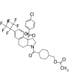 CC(=O)OCC1CCC(C(=O)N2CCC3(S(=O)(=O)c4ccc(Cl)cc4)c4ccc(C(F)(C(F)(F)F)C(F)(F)F)cc4CCC23)CC1